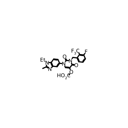 CCn1c(C)nc2cc(-n3cc(OC(=O)O)c(=O)n(Cc4cccc(F)c4C(F)(F)F)c3=O)ccc21